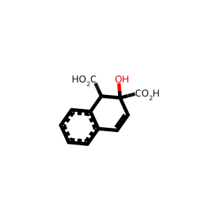 O=C(O)C1c2ccccc2C=CC1(O)C(=O)O